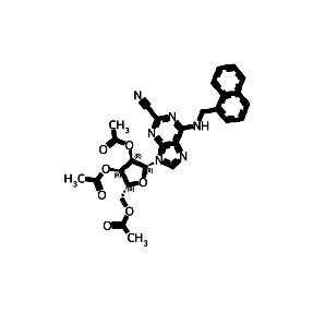 CC(=O)OC[C@H]1O[C@@H](n2cnc3c(NCc4cccc5ccccc45)nc(C#N)nc32)[C@H](OC(C)=O)[C@@H]1OC(C)=O